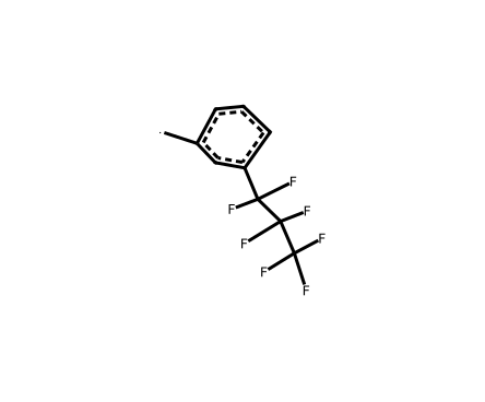 [CH2]c1cccc(C(F)(F)C(F)(F)C(F)(F)F)c1